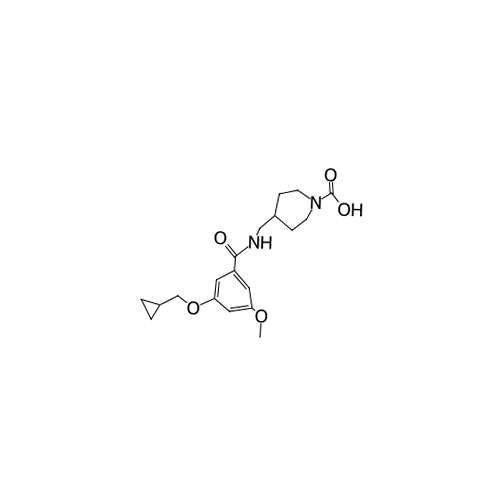 COc1cc(OCC2CC2)cc(C(=O)NCC2CCN(C(=O)O)CC2)c1